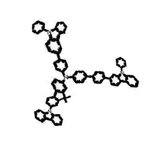 CC1(C)c2cc(N(c3ccc(-c4ccc(-c5ccc6c7ccccc7n(-c7ccccc7)c6c5)cc4)cc3)c3ccc(-c4ccc5c(c4)c4ccccc4n5-c4ccccc4)cc3)ccc2-c2ccc(-n3c4ccccc4c4ccccc43)cc21